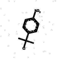 CC(C)(Cl)c1ccc([N+](=O)[O-])cc1